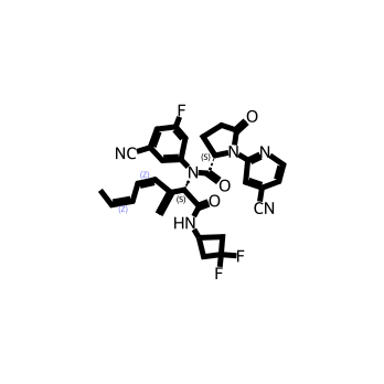 C=C(/C=C\C=C/C)[C@@H](C(=O)NC1CC(F)(F)C1)N(C(=O)[C@@H]1CCC(=O)N1c1cc(C#N)ccn1)c1cc(F)cc(C#N)c1